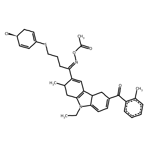 CCN1C2=CC=C(C(=O)c3ccccc3C)CC2C2=C1CC(C)C(/C(CCCSC1=CC[C@H](Cl)C=C1)=N/OC(C)=O)=C2